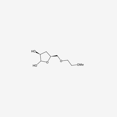 COCCOC[C@@H]1C[C@H](O)C(O)O1